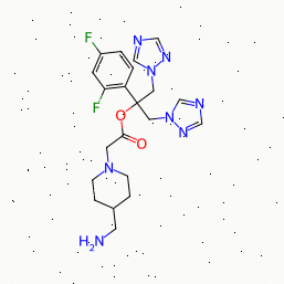 NCC1CCN(CC(=O)OC(Cn2cncn2)(Cn2cncn2)c2ccc(F)cc2F)CC1